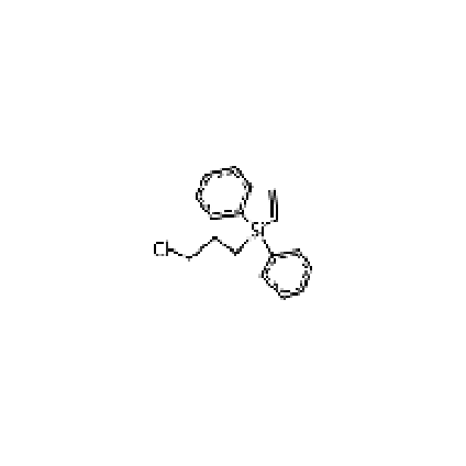 C=C[Si](CCCCl)(c1ccccc1)c1ccccc1